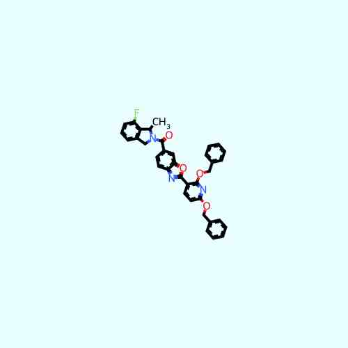 CC1c2c(F)cccc2CN1C(=O)c1ccc2nc(-c3ccc(OCc4ccccc4)nc3OCc3ccccc3)oc2c1